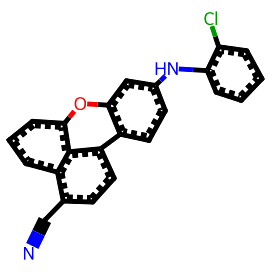 N#Cc1ccc2c3c(cccc13)Oc1cc(Nc3ccccc3Cl)ccc1-2